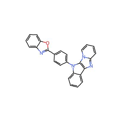 c1ccc2oc(-c3ccc(-n4c5ccccc5c5nc6ccccn6c54)cc3)nc2c1